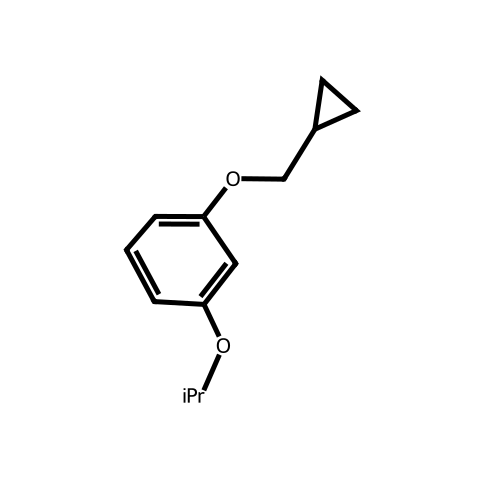 CC(C)Oc1cccc(OCC2CC2)c1